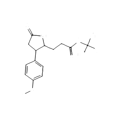 COc1ccc(C2CC(=O)NC2CCC(=O)OC(C)(C)C)cc1